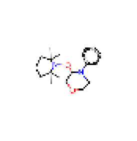 CC1(C)CCCC(C)(C)N1OC1COCCN1c1ccccc1